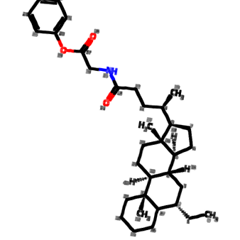 CC[C@H]1C[C@H]2[C@@H]3CC[C@H]([C@H](C)CCC(=O)NCC(=O)Oc4ccccc4)[C@@]3(C)CC[C@@H]2[C@@]2(C)CCCCC12